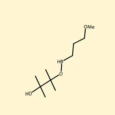 COCCCBOC(C)(C)C(C)(C)O